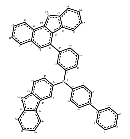 c1ccc(-c2ccc(N(c3cccc(-c4cc5ccccc5c5sc6ccccc6c45)c3)c3ccc4sc5ccccc5c4c3)cc2)cc1